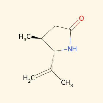 C=C(C)[C@H]1NC(=O)C[C@@H]1C